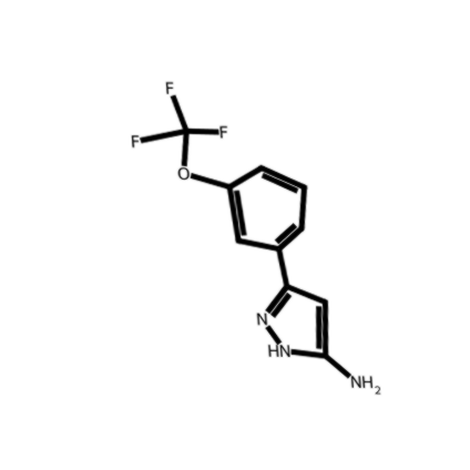 Nc1cc(-c2cccc(OC(F)(F)F)c2)n[nH]1